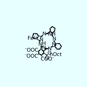 CCCCCCCCOC(=O)c1c(C(=O)[O-])c(C(=O)[O-])c(C(=O)[O-])c2c3nc4nc(nc5[nH]c(nc6nc(nc([nH]3)c12)-c1ccccc1-6)c1ccccc51)-c1ccccc1-4.[Fe+3]